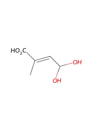 CC(=CC(O)O)C(=O)O